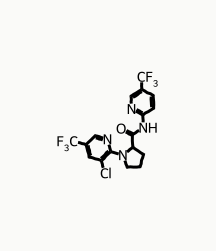 O=C(Nc1ccc(C(F)(F)F)cn1)C1CCCN1c1ncc(C(F)(F)F)cc1Cl